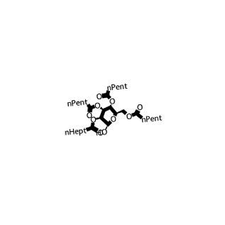 CCCCCCCC(=O)O[C@H]1[C@@H](OC(=O)CCCCC)[C@H](OC(=O)CCCCC)[C@@H](COC(=O)CCCCC)O[C@@H]1O